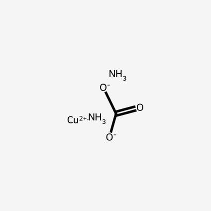 N.N.O=C([O-])[O-].[Cu+2]